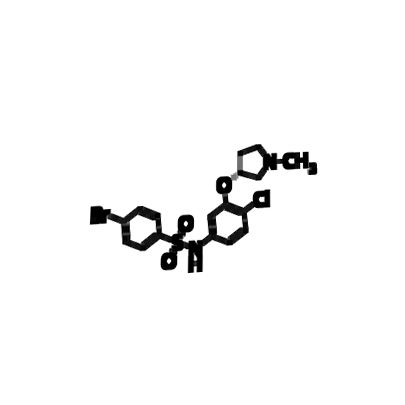 CN1CC[C@@H](Oc2cc(NS(=O)(=O)c3ccc(Br)cc3)ccc2Cl)C1